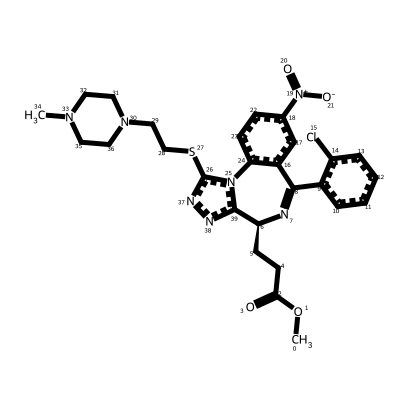 COC(=O)CC[C@@H]1N=C(c2ccccc2Cl)c2cc([N+](=O)[O-])ccc2-n2c(SCCN3CCN(C)CC3)nnc21